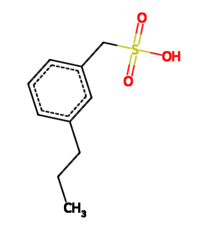 CCCc1cccc(CS(=O)(=O)O)c1